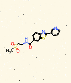 CS(=O)(=O)CCNC(=O)c1ccc2nc(-c3cccnc3)sc2c1